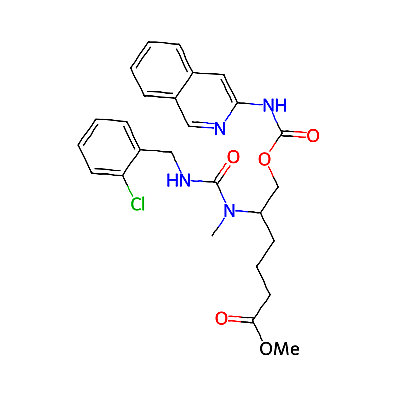 COC(=O)CCCC(COC(=O)Nc1cc2ccccc2cn1)N(C)C(=O)NCc1ccccc1Cl